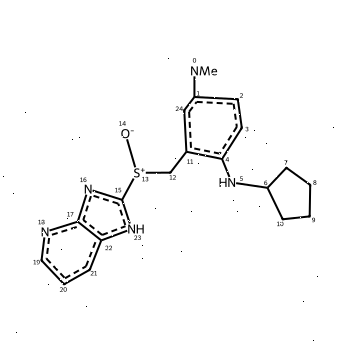 CNc1ccc(NC2CCCC2)c(C[S+]([O-])c2nc3ncccc3[nH]2)c1